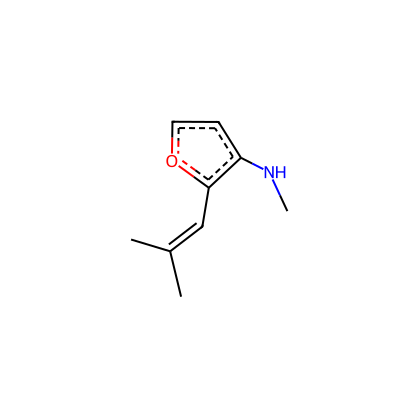 CNc1ccoc1C=C(C)C